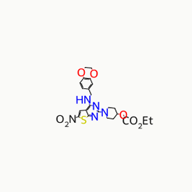 CCOC(=O)OC1CCN(c2nc(NCc3ccc4c(c3)OCCO4)c3cc([N+](=O)[O-])sc3n2)CC1